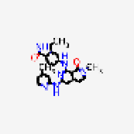 CCc1cc(Nc2nc(Nc3cc(C)ccn3)cc3ccn(C)c(=O)c23)ccc1C(N)=O